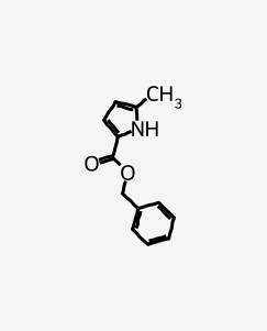 Cc1ccc(C(=O)OCc2ccccc2)[nH]1